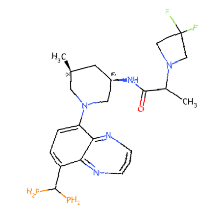 CC(C(=O)N[C@@H]1C[C@H](C)CN(c2ccc(C(P)P)c3nccnc23)C1)N1CC(F)(F)C1